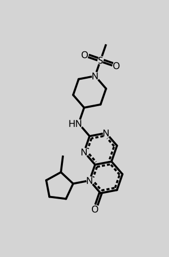 CC1CCCC1n1c(=O)ccc2cnc(NC3CCN(S(C)(=O)=O)CC3)nc21